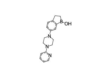 OB1CCc2ccc(N3CCN(c4ccccn4)CC3)cc21